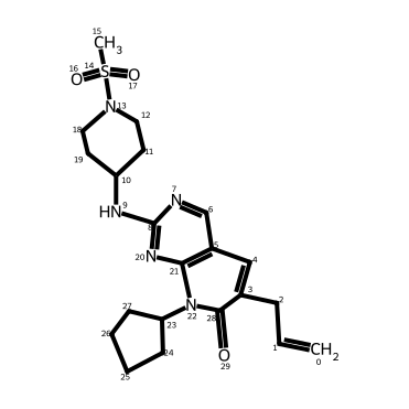 C=CCc1cc2cnc(NC3CCN(S(C)(=O)=O)CC3)nc2n(C2CCCC2)c1=O